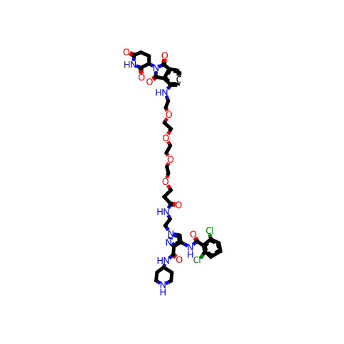 O=C(CCOCCOCCOCCOCCNc1cccc2c1C(=O)N(C1CCC(=O)NC1=O)C2=O)NCCn1cc(NC(=O)c2c(Cl)cccc2Cl)c(C(=O)NC2CCNCC2)n1